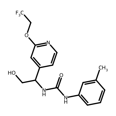 Cc1cccc(NC(=O)NC(CO)c2ccnc(OCC(F)(F)F)c2)c1